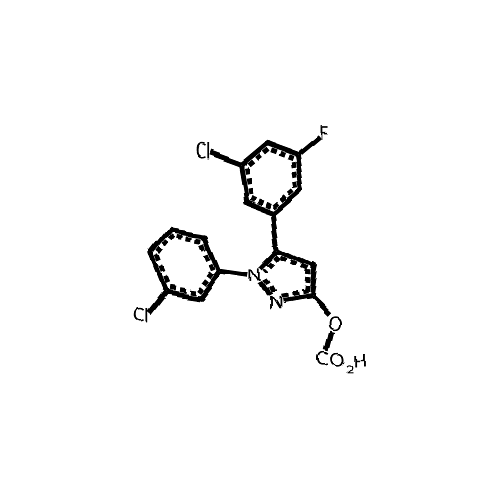 O=C(O)Oc1cc(-c2cc(F)cc(Cl)c2)n(-c2cccc(Cl)c2)n1